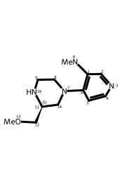 CNc1cnccc1N1CCN[C@H](COC)C1